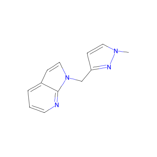 Cn1ccc(Cn2ccc3cccnc32)n1